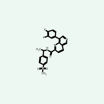 CC(NC(=O)c1ccc2cncc(-c3ccc(F)c(F)c3)c2n1)c1ccc(S(C)(=O)=O)cc1